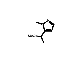 COC(C)c1ccnn1C